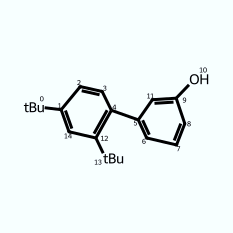 CC(C)(C)c1ccc(-c2cccc(O)c2)c(C(C)(C)C)c1